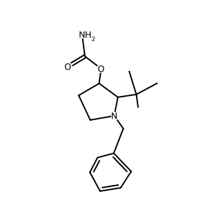 CC(C)(C)C1C(OC(N)=O)CCN1Cc1ccccc1